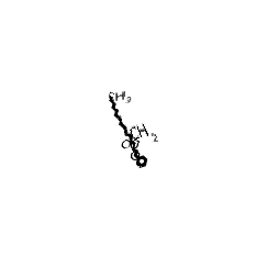 C=C(CCCCCCCCCC)C(=O)OCCOc1ccccc1